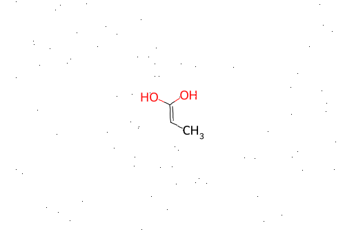 CC=C(O)O